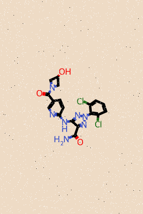 NC(=O)c1nn(-c2c(Cl)cccc2Cl)nc1Nc1ccc(C(=O)N2CC(O)C2)cn1